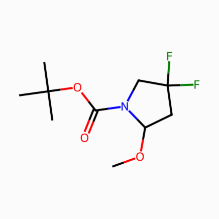 COC1CC(F)(F)CN1C(=O)OC(C)(C)C